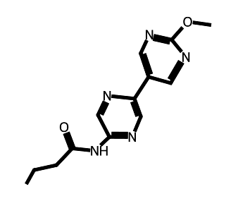 CCCC(=O)Nc1cnc(-c2cnc(OC)nc2)cn1